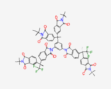 CC(c1cc(N2C(=O)c3ccc([C@@](C)(c4ccc5c(c4)C(=O)N(C(C)(C)C)C5=O)C(F)(F)F)cc3C2=O)cc(N2C(=O)c3ccc([C@](C)(c4ccc5c(c4)C(=O)N(C(C)(C)C)C5=O)C(F)(F)F)cc3C2=O)c1)(c1ccc2c(c1)C(=O)N(C(C)(C)C)C2=O)c1ccc2c(c1)C(=O)N(C(C)(C)C)C2=O